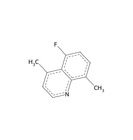 Cc1ccc(F)c2c(C)ccnc12